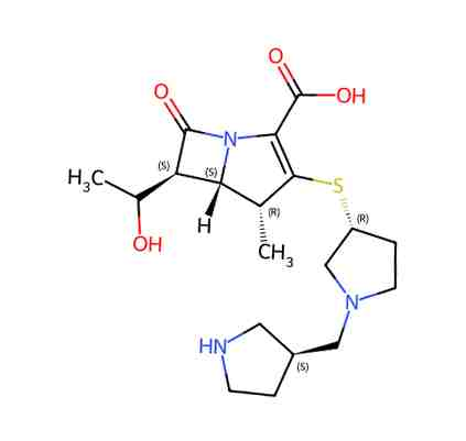 CC(O)[C@H]1C(=O)N2C(C(=O)O)=C(S[C@@H]3CCN(C[C@H]4CCNC4)C3)[C@H](C)[C@H]12